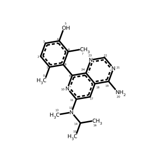 Cc1ccc(O)c(C)c1-c1nc(N(C)C(C)C)cc2c(N)ncnc12